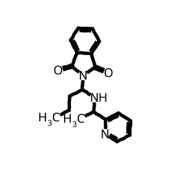 CCCC(NC(C)c1ccccn1)N1C(=O)c2ccccc2C1=O